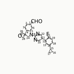 O=Cc1ccc2c(c1)N(c1ncc(-c3cc(C4CC4)ccc3F)cn1)CC21COC1